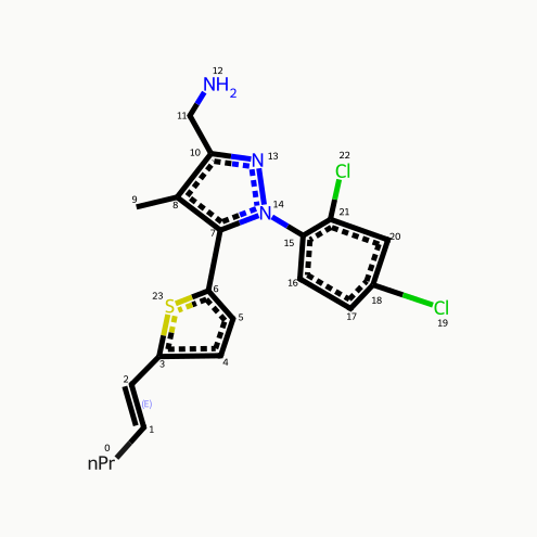 CCC/C=C/c1ccc(-c2c(C)c(CN)nn2-c2ccc(Cl)cc2Cl)s1